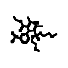 CCOC(=O)C1=C(C)NC(C)=C(P(=O)(OCCOC)OCCOC)C1c1cccc([N+](=O)[O-])c1